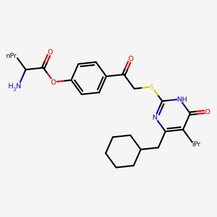 CCCC(N)C(=O)Oc1ccc(C(=O)CSc2nc(CC3CCCCC3)c(C(C)C)c(=O)[nH]2)cc1